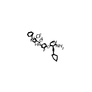 Nc1nccc(Oc2ccc(NC(=O)c3cnn(-c4ccccc4)c3C(F)(F)F)cc2F)c1C#CC1CCCCC1